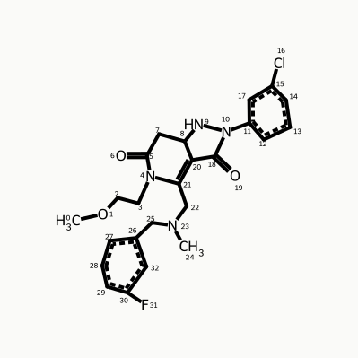 COCCN1C(=O)CC2NN(c3cccc(Cl)c3)C(=O)C2=C1CN(C)Cc1cccc(F)c1